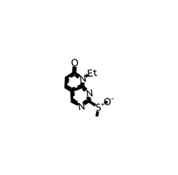 CCn1c(=O)ccc2cnc([S+](C)[O-])nc21